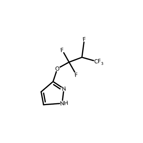 FC(C(F)(F)F)C(F)(F)Oc1cc[nH]n1